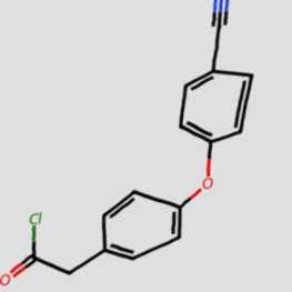 N#Cc1ccc(Oc2ccc(CC(=O)Cl)cc2)cc1